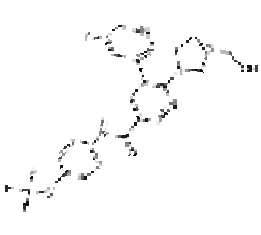 O=C(Nc1ccc(SC(F)(F)F)cc1)c1cnc(N2CC[C@H](CO)C2)c(-c2cncc(F)c2)c1